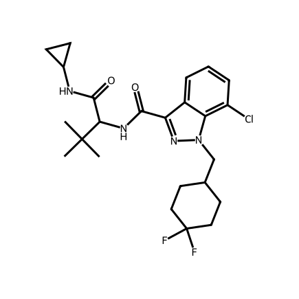 CC(C)(C)C(NC(=O)c1nn(CC2CCC(F)(F)CC2)c2c(Cl)cccc12)C(=O)NC1CC1